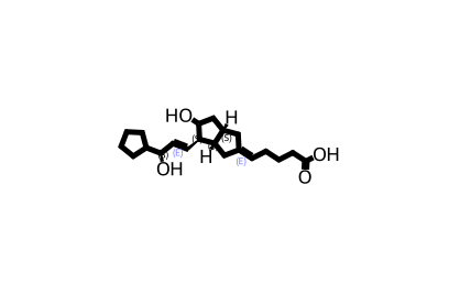 O=C(O)CCC/C=C1\C[C@H]2CC(O)[C@H](/C=C/[C@@H](O)C3CCCC3)[C@H]2C1